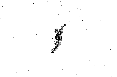 CCCCCc1ccc(C2OCC(C3CCC(CCCCC)CC3)CO2)cc1F